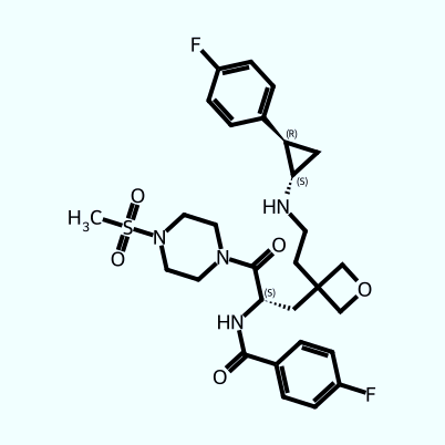 CS(=O)(=O)N1CCN(C(=O)[C@H](CC2(CCN[C@H]3C[C@@H]3c3ccc(F)cc3)COC2)NC(=O)c2ccc(F)cc2)CC1